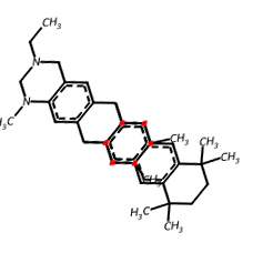 CCN1Cc2cc3c(cc2N(C)C1)C1c2cc(C)c(C)cc2C3c2cc3cc4c(cc3cc21)C(C)(C)CCC4(C)C